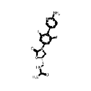 CC(=O)NC[C@H]1CN(c2cc(F)c(-c3ccc(N)nc3)c(F)c2)C(=O)O1